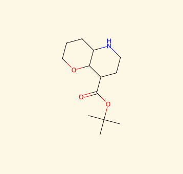 CC(C)(C)OC(=O)C1CCNC2CCCOC21